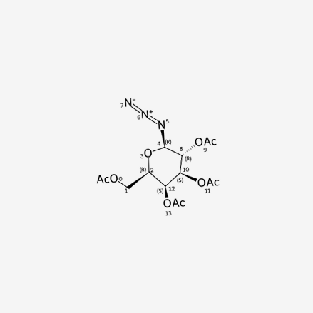 CC(=O)OC[C@H]1O[C@@H](N=[N+]=[N-])[C@H](OC(C)=O)[C@@H](OC(C)=O)[C@H]1OC(C)=O